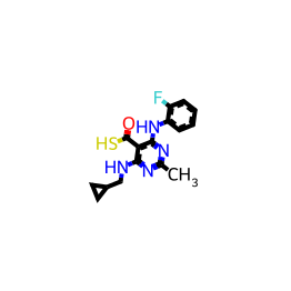 Cc1nc(NCC2CC2)c(C(=O)S)c(Nc2ccccc2F)n1